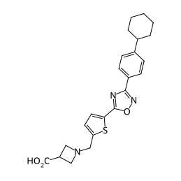 O=C(O)C1CN(Cc2ccc(-c3nc(-c4ccc(C5CCCCC5)cc4)no3)s2)C1